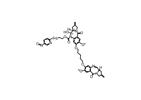 C=C1C[C@H]2C=Nc3cc(OCCCCCOc4cc5c(cc4OC)C(=O)N4CC(=C)C[C@H]4[C@H](O)N5C(=O)OCCSSc4ccc(N=O)cn4)c(OC)cc3C(=O)N2C1